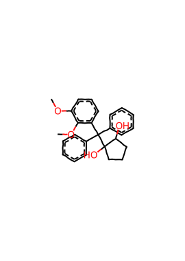 COc1cccc(C(c2ccccc2)(c2ccccc2)C2(O)CCCC2O)c1OC